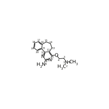 CN(C)CCOc1nc(N)nc2c1CCCc1ccccc1-2